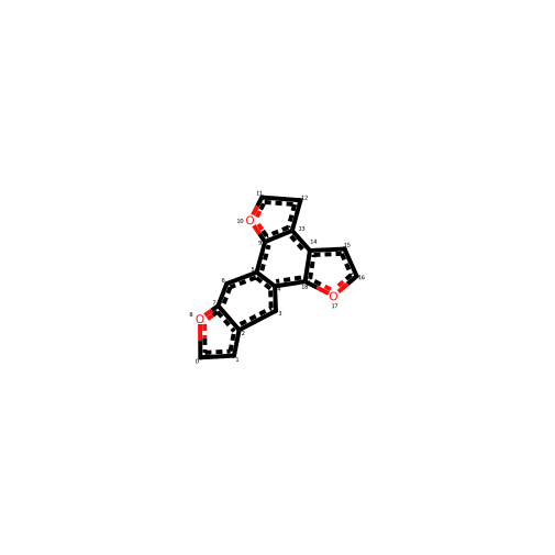 c1cc2cc3c(cc2o1)c1occc1c1ccoc13